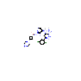 CN1CCN([C@H]2C[C@H](C(=O)Nc3cc(Nc4cc(-c5cc(Cl)ccc5F)nnc4N(C)C)ccn3)C2)CC1